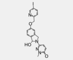 Cn1nc(N2Cc3cc(OCc4ccc(I)cn4)ccc3C2O)ccc1=O